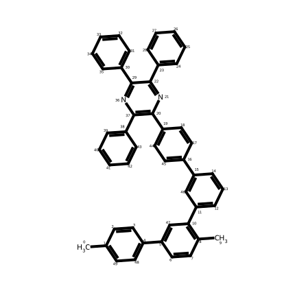 Cc1ccc(-c2ccc(C)c(-c3cccc(-c4ccc(-c5nc(-c6ccccc6)c(-c6ccccc6)nc5-c5ccccc5)cc4)c3)c2)cc1